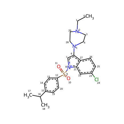 CCN1CCN(c2cn(S(=O)(=O)c3ccc(C(C)C)cc3)c3cc(Cl)ccc23)CC1